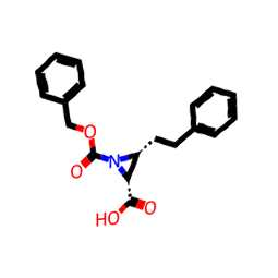 O=C(O)[C@H]1[C@@H](CCc2ccccc2)N1C(=O)OCc1ccccc1